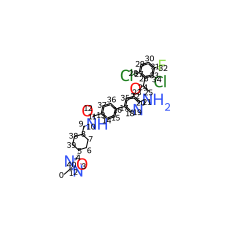 Cc1noc([C@H]2CC[C@H](CNC(=O)c3ccc(-c4cnc(N)c(OC(C)c5c(Cl)ccc(F)c5Cl)c4)cc3)CC2)n1